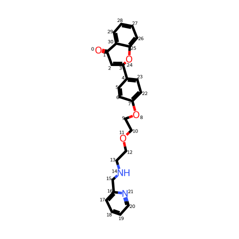 O=c1cc(-c2ccc(OCCOCCNCc3ccccn3)cc2)oc2ccccc12